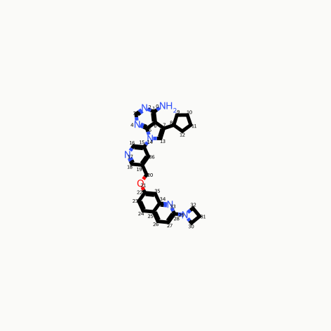 Nc1ncnc2c1c(C1CCCC1)cn2-c1cncc(COc2ccc3ccc(N4CCC4)nc3c2)c1